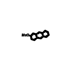 [CH2]Oc1ccc2cc3ccccc3cc2c1